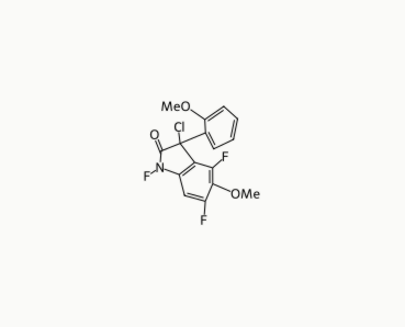 COc1ccccc1C1(Cl)C(=O)N(F)c2cc(F)c(OC)c(F)c21